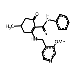 COc1cnccc1CNC1=C(C(=S)Nc2ccccc2)C(=O)CC(C)C1